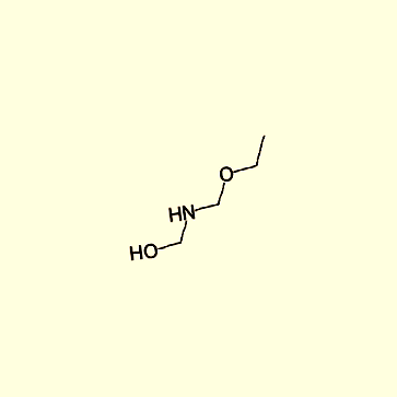 CCOCNCO